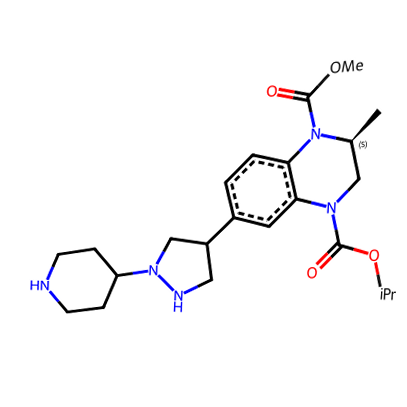 COC(=O)N1c2ccc(C3CNN(C4CCNCC4)C3)cc2N(C(=O)OC(C)C)C[C@@H]1C